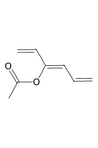 C=CC=C(C=C)OC(C)=O